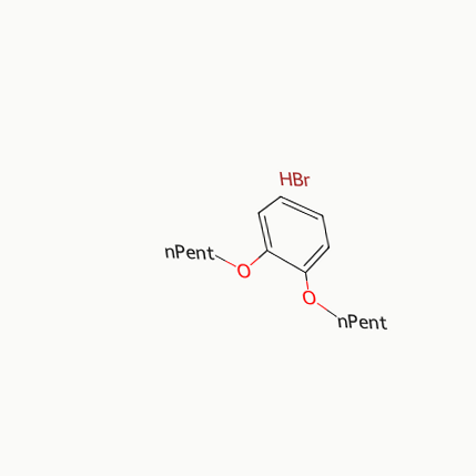 Br.CCCCCOc1ccccc1OCCCCC